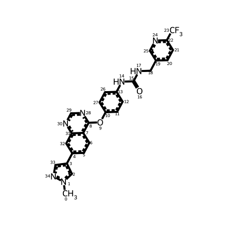 Cn1cc(-c2ccc3c(Oc4ccc(NC(=O)NCc5ccc(C(F)(F)F)nc5)cc4)ncnc3c2)cn1